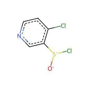 [O-][S+](Cl)c1cnccc1Cl